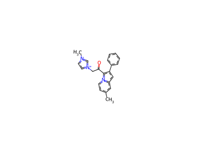 Cc1ccn2c(C(=O)C[n+]3ccn(C)c3)c(-c3ccccc3)cc2c1